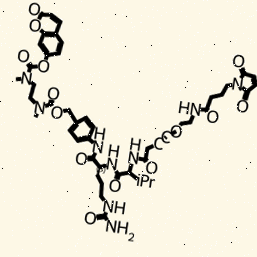 CC(C)C(NC(=O)CCCOCCNC(=O)CCCN1C(=O)C=CC1=O)C(=O)N[C@@H](CCCNC(N)=O)C(=O)Nc1ccc(COC(=O)N(C)CCN(C)C(=O)Oc2ccc3ccc(=O)oc3c2)cc1